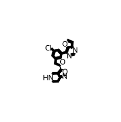 Clc1cc2c(c(-c3ncnc4ccoc34)c1)O[C@@H](c1onc3c1CNCC3)C2